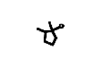 CC1CCCC1(C)[O]